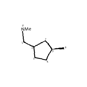 CNCC1CC[C@H](C)C1